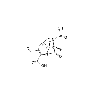 C=CC1=C(C(=O)O)N2C(=O)[C@@H]3[C@H]2[C@H](C1)CN3C(=O)O